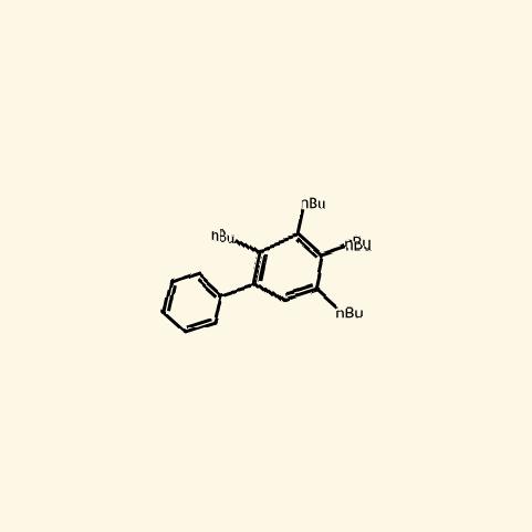 CCCCc1cc(-c2ccccc2)c(CCCC)c(CCCC)c1CCCC